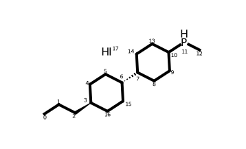 CCC[C@H]1CC[C@H](C2CCC(PC)CC2)CC1.I